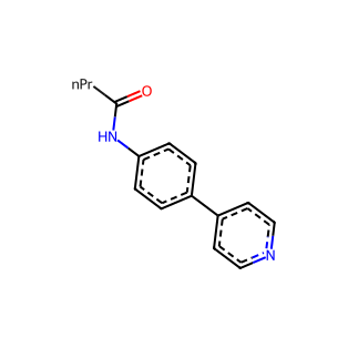 CCCC(=O)Nc1ccc(-c2ccncc2)cc1